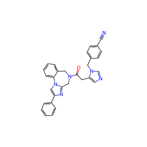 N#Cc1ccc(Cn2cncc2CC(=O)N2Cc3ccccc3-n3cc(-c4ccccc4)nc3C2)cc1